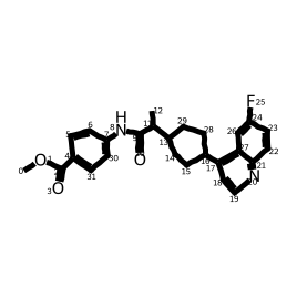 COC(=O)c1ccc(NC(=O)C(C)C2CCC(c3ccnc4ccc(F)cc34)CC2)cc1